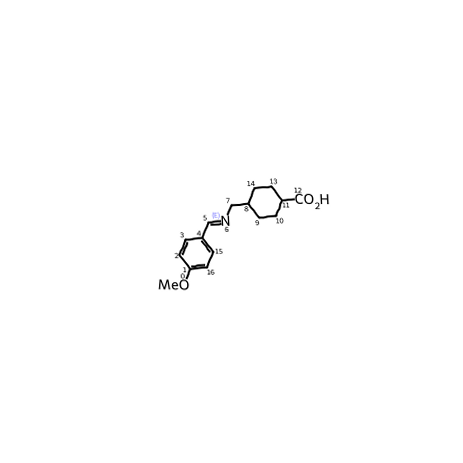 COc1ccc(/C=N/CC2CCC(C(=O)O)CC2)cc1